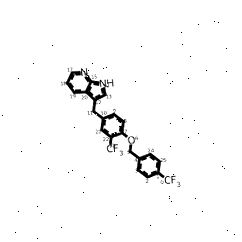 FC(F)(F)c1ccc(COc2ccc(Cc3c[nH]c4ncccc34)cc2C(F)(F)F)cc1